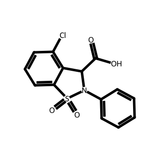 O=C(O)C1c2c(Cl)cccc2S(=O)(=O)N1c1ccccc1